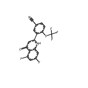 N#Cc1ccc(SC(F)(F)F)c(-c2cc(=O)c3c(F)cc(F)cc3[nH]2)c1